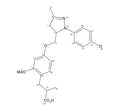 COc1cc(OCC2CC(C)=NN2c2ccc(Cl)cc2)ccc1CC(C)C(=O)O